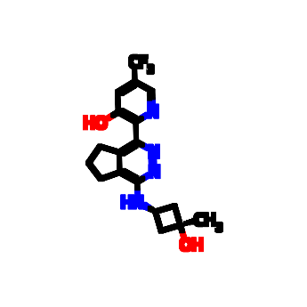 C[C@]1(O)C[C@@H](Nc2nnc(-c3ncc(C(F)(F)F)cc3O)c3c2CCC3)C1